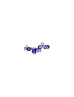 O=C(N1CC=C(c2cc3c(Nc4ccc5ncsc5c4)ccnc3[nH]2)CC1)N1CCN2CCC=C2C1